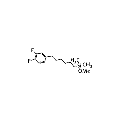 CO[Si](C)(C)CCCCCCc1ccc(F)c(F)c1